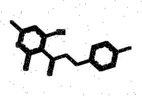 Cc1ccc(CCC(=O)c2c(O)cc(C)oc2=O)cc1